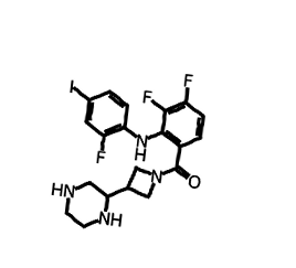 O=C(c1ccc(F)c(F)c1Nc1ccc(I)cc1F)N1CC(C2CNCCN2)C1